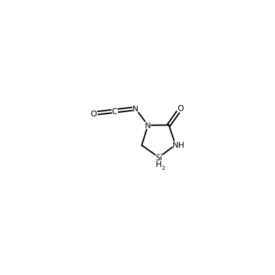 O=C=NN1C[SiH2]NC1=O